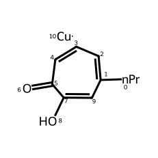 CCCc1cccc(=O)c(O)c1.[Cu]